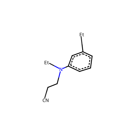 CCc1cccc(N(CC)CCC#N)c1